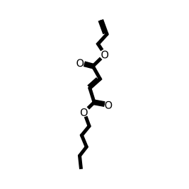 C=CCOC(=O)/C=C/C(=O)OCCCCC